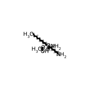 CC(=O)O.CCCCCCCCCCCOC(=O)[C@@H](N)CCCCN